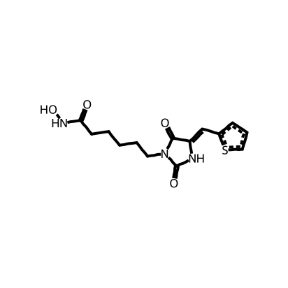 O=C(CCCCCN1C(=O)N/C(=C\c2cccs2)C1=O)NO